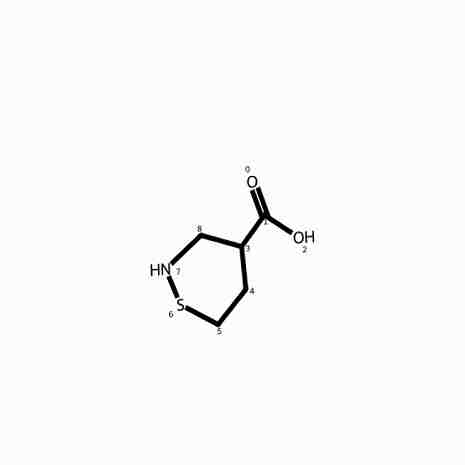 O=C(O)C1CCSNC1